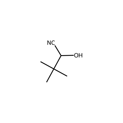 CC(C)(C)C(O)C#N